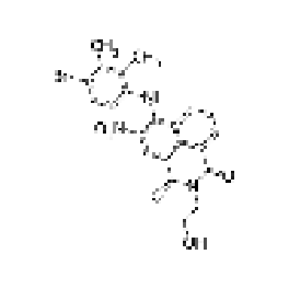 Cc1c(Br)ccc(Nc2c([N+](=O)[O-])cc3c4c(cccc24)C(=O)N(CCO)C3=O)c1C